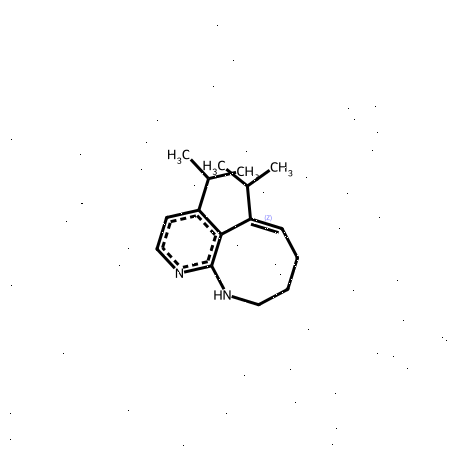 CC(C)/C1=C/CCCNc2nccc(C(C)C)c21